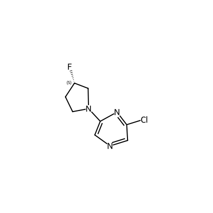 F[C@H]1CCN(c2cncc(Cl)n2)C1